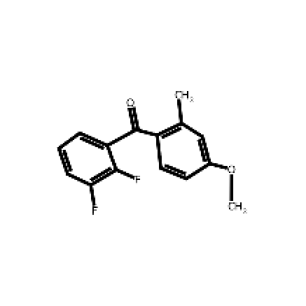 COc1ccc(C(=O)c2cccc(F)c2F)c(C)c1